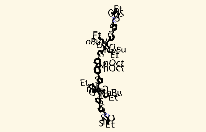 CCCCCCCCC(CCCCCCCC)n1c2cc(-c3ccc(C4=C5C(=O)N(CC(CC)CCCC)C(c6ccc(-c7ccc(/C=C8\SC(=S)N(CC)C8=O)s7)s6)=C5C(=O)N4CC(CC)CCCC)s3)ccc2c2ccc(-c3ccc(C4=C5C(=O)N(CC(CC)CCCC)C(c6ccc(-c7ccc(/C=C8\SC(=S)N(CC)C8=O)s7)s6)=C5C(=O)N4CC(CC)CCCC)s3)cc21